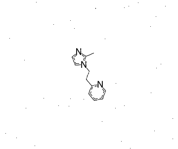 Cc1nccn1CCc1ccccn1